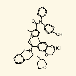 Cc1c(C(=O)N(c2ccccc2)c2ccc(O)cc2)cc(-c2cc3c(cc2C(=O)N2Cc4ccccc4C[C@H]2CN2CCOCC2)OCCO3)n1C.Cl